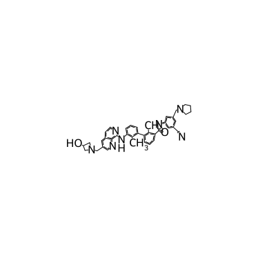 Cc1c(Nc2nccc3cc(CN4CC(O)C4)cnc23)cccc1-c1cccc(-c2nc3cc(CN4CCCC4)cc(C#N)c3o2)c1C